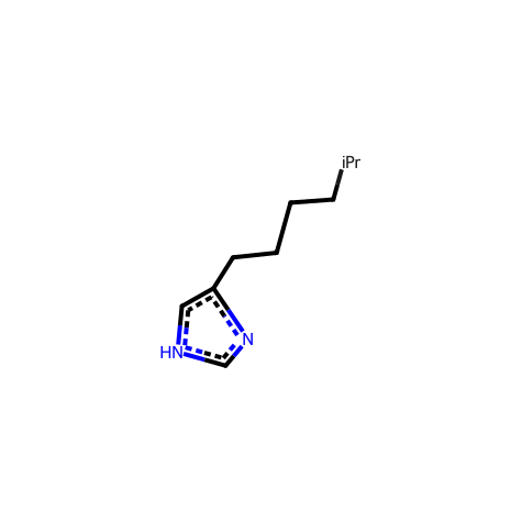 CC(C)CCCCc1c[nH]cn1